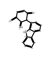 N=C1C(=O)C=CC(=O)C1c1cccc2c1[nH]c1ccccc12